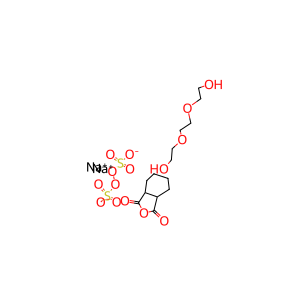 O=C1OC(=O)C2CCCCC12.O=S(=O)([O-])OOS(=O)(=O)[O-].OCCOCCOCCO.[Na+].[Na+]